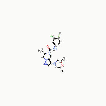 C[C@@H]1CN(c2cnn3c2CN(C(=O)Nc2ccc(F)c(Cl)c2)[C@@H](C)C3)C[C@@H](C)O1